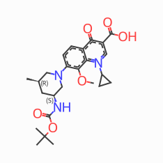 COc1c(N2C[C@H](C)C[C@H](NC(=O)OC(C)(C)C)C2)ccc2c(=O)c(C(=O)O)cn(C3CC3)c12